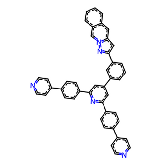 c1cc(-c2cc(-c3ccc(-c4ccncc4)cc3)nc(-c3ccc(-c4ccncc4)cc3)c2)cc(-c2cc3cc4ccccc4cn3n2)c1